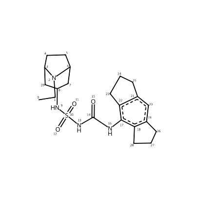 CCN1C2CCC1CC(NS(=O)(=O)NC(=O)Nc1c3c(cc4c1CCC4)CCC3)C2